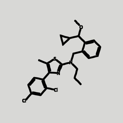 CCCN(Cc1ccccc1C(OC)C1CC1)c1nc(-c2ccc(Cl)cc2Cl)c(C)s1